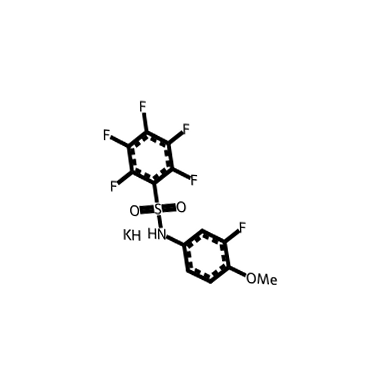 COc1ccc(NS(=O)(=O)c2c(F)c(F)c(F)c(F)c2F)cc1F.[KH]